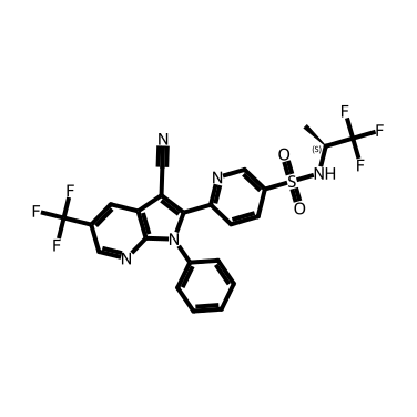 C[C@H](NS(=O)(=O)c1ccc(-c2c(C#N)c3cc(C(F)(F)F)cnc3n2-c2ccccc2)nc1)C(F)(F)F